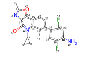 Cc1nc2c(=O)n(C3CC3)c3c(C)c(-c4cc(F)c(N)cc4F)ccc3c2o1